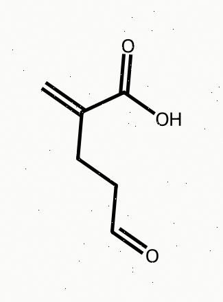 C=C(CCC=O)C(=O)O